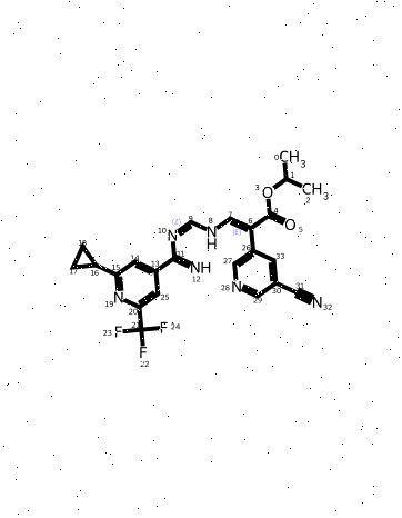 CC(C)OC(=O)/C(=C/N/C=N\C(=N)c1cc(C2CC2)nc(C(F)(F)F)c1)c1cncc(C#N)c1